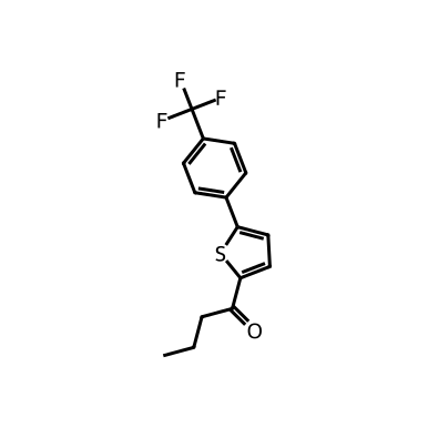 CCCC(=O)c1ccc(-c2ccc(C(F)(F)F)cc2)s1